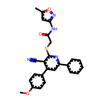 COc1ccc(-c2cc(-c3ccccc3)nc(SCC(=O)Nc3cc(C)on3)c2C#N)cc1